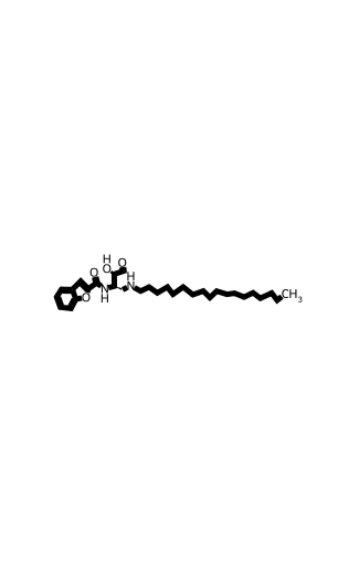 CCCCCCCCCCCCCCCCCCNC[C@H](NC(=O)c1cc2ccccc2o1)[C@@H](O)C=O